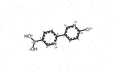 OB(O)c1ccc(-c2ccc(Cl)nc2)nc1